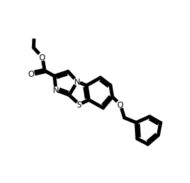 CCOC(=O)c1cn2c(n1)sc1cc(OCc3ccccc3)ccc12